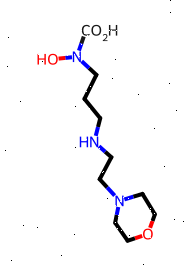 O=C(O)N(O)CCCNCCN1CCOCC1